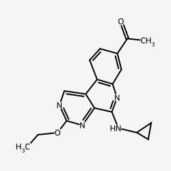 CCOc1ncc2c(n1)c(NC1CC1)nc1cc(C(C)=O)ccc12